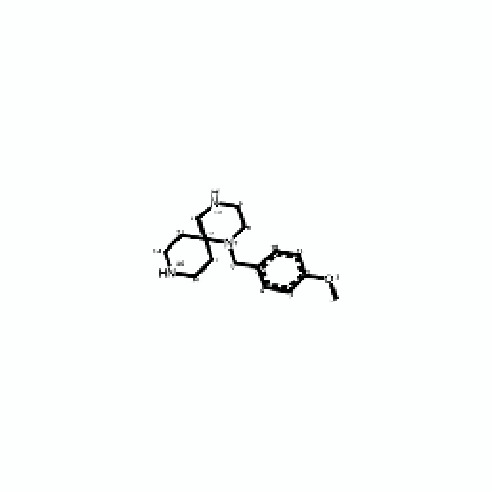 COc1ccc(CN2CCNCC23CCNCC3)cc1